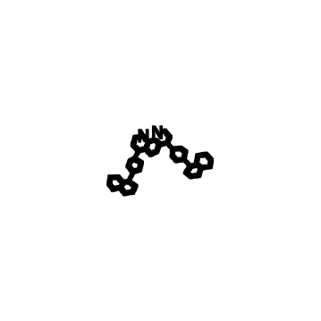 c1ccc2c(-c3ccc(-c4ccnc5c4ccc4c(-c6ccc(-c7cccc8ccccc78)cc6)ccnc45)cc3)cccc2c1